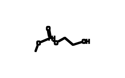 CO[PH](=O)OCCO